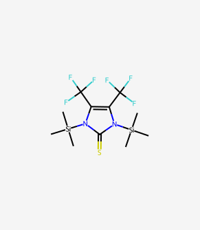 C[Si](C)(C)n1c(C(F)(F)F)c(C(F)(F)F)n([Si](C)(C)C)c1=S